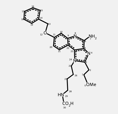 COCCc1nc2c(N)nc3cc(OCc4ccccc4)ccc3c2n1CCCCNC(=O)O